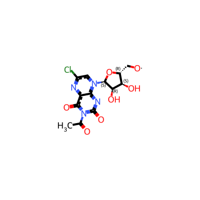 CC(=O)n1c(=O)nc2n([C@H]3O[C@H](C[O])[C@@H](O)[C@H]3O)cc(Cl)nc-2c1=O